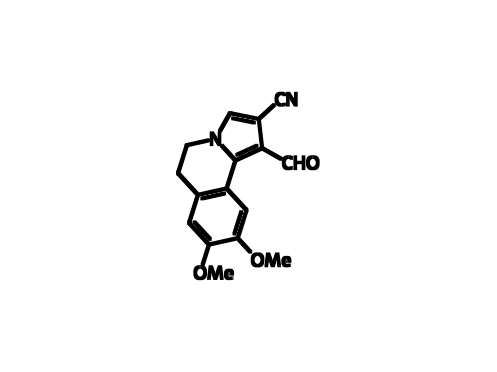 COc1cc2c(cc1OC)-c1c(C=O)c(C#N)cn1CC2